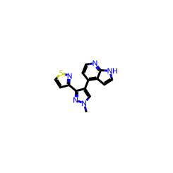 Cn1cc(-c2ccnc3[nH]ccc23)c(-c2ccsn2)n1